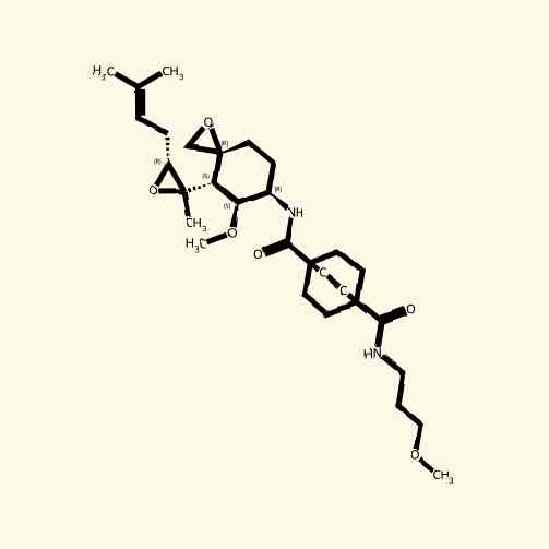 COCCCNC(=O)C12CCC(C(=O)N[C@@H]3CC[C@]4(CO4)[C@@H](C4(C)O[C@@H]4CC=C(C)C)[C@@H]3OC)(CC1)CC2